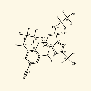 CC(C)c1cc(C#N)cc(C(C)C)c1CC(=O)N=S(=O)(N[Si](C)(C)C(C)(C)C)c1sc(C(C)(C)O)nc1CO[Si](C)(C)C(C)(C)C